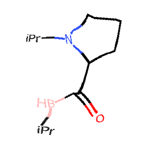 CC(C)BC(=O)C1CCCN1C(C)C